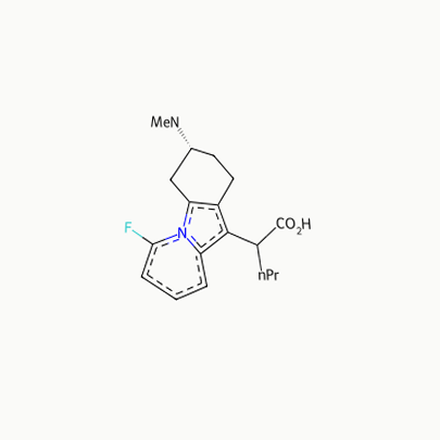 CCCC(C(=O)O)c1c2c(n3c(F)cccc13)C[C@H](NC)CC2